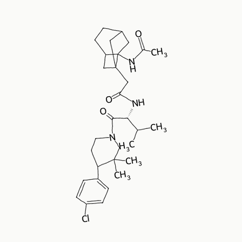 CC(=O)NC12CC3CCC1CC2(CC(=O)N[C@@H](C(=O)N1CCC(c2ccc(Cl)cc2)C(C)(C)C1)C(C)C)C3